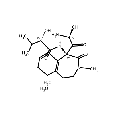 CC(C)[C@H](O)C(=O)N[C@@]1(C(=O)[C@H](C)N)C(=O)N(C)CCC2=C1C=CCC2.O.O